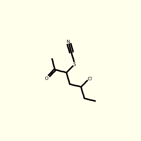 CCC(Cl)CC(SC#N)C(C)=O